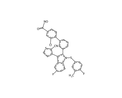 Cc1cc(Sn2c(-c3cccc(-c4ccc(C(=O)N=O)cc4Cl)c3)c(-c3ccsc3C#N)c3cc(F)ccc32)ccc1F